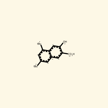 CC(C)(C)c1cc(C(C)(C)C)c2cc(O)c(C(=O)O)cc2c1